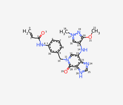 C=CC(=O)Nc1cccc(Cn2cc(Nc3cn(C)nc3OC)c3nc[nH]c3c2=O)c1